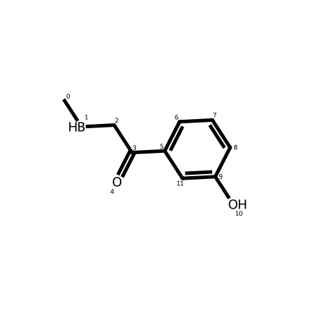 CBCC(=O)c1cccc(O)c1